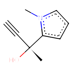 C#C[C@@](C)(O)c1cccn1C